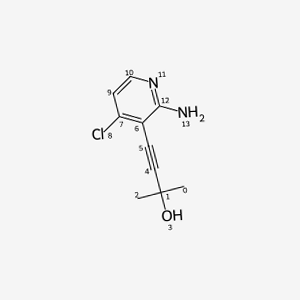 CC(C)(O)C#Cc1c(Cl)ccnc1N